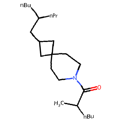 CCCCC(CCC)CC1CC2(CCN(C(=O)C(C)CCCC)CC2)C1